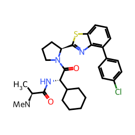 CN[C@@H](C)C(=O)N[C@H](C(=O)N1CCC[C@H]1c1nc2c(-c3ccc(Cl)cc3)cccc2s1)C1CCCCC1